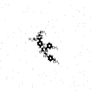 COc1ccc(NCCNC(=O)[C@H](Cc2ccc(-c3cnc(OC)nc3OC)cc2)NC(=O)c2cccc(C)c2)cc1